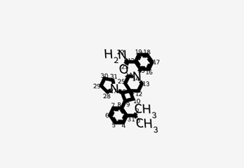 CC(C)c1ccccc1C1CC2(CCN(c3ccccc3C(N)=O)CC2)C1N1CCCC1